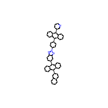 c1cncc(-c2c3ccccc3c(-c3ccc(-n4nc5ccc(-c6c7ccccc7c(-c7ccc8ccccc8c7)c7ccccc67)cc5n4)cc3)c3ccccc23)c1